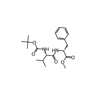 COC(=O)[C@H](Cc1ccccc1)NC(=O)[C@H](NC(=O)OC(C)(C)C)C(C)C